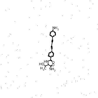 CC(O)C(NC(=O)c1ccc(C#CC#Cc2ccc(N)cc2)cc1)C(N)=O